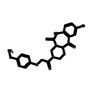 COc1ccc(OCC(=O)N2CCN3C(=O)c4cc(Br)ccc4NC(=O)C3C2)cc1